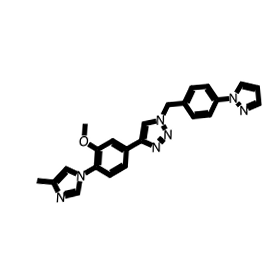 COc1cc(-c2cn(Cc3ccc(-n4cccn4)cc3)nn2)ccc1-n1cnc(C)c1